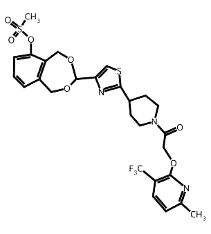 Cc1ccc(C(F)(F)F)c(OCC(=O)N2CCC(c3nc(C4OCc5cccc(OS(C)(=O)=O)c5CO4)cs3)CC2)n1